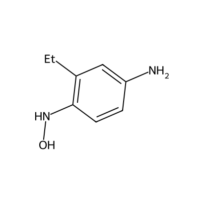 CCc1cc(N)ccc1NO